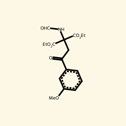 CCOC(=O)C(CC(=O)c1cccc(OC)c1)(NC=O)C(=O)OCC